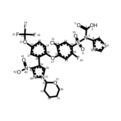 O=C(O)N(c1cscn1)S(=O)(=O)c1cc(Cl)c(Oc2ccc(OC(F)(F)F)cc2-c2cn(C3CCCCO3)nc2[N+](=O)[O-])cc1F